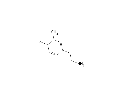 CC1C=C(CCN)C=CC1Br